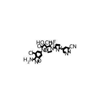 CC(O)(C(=O)Nc1cc(Cl)c2c(N)noc2c1)C1OCCN(c2nn(-c3cnnc(C#N)c3)cc2F)C1=O